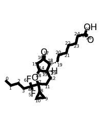 CCCCC(F)(F)C1(C2CC2)CC[C@H]2C(CC(=O)[C@@H]2CCCCCCC(=O)O)O1